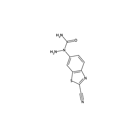 N#Cc1nc2ccc(N(N)C(N)=O)cc2s1